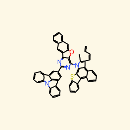 C=C/C=C\c1c(C)n(-c2nc(-c3cc4c5ccccc5n5c6ccccc6c(c3)c45)nc3c2oc2cc4ccccc4cc23)c2c3sc4ccccc4c3c3ccccc3c12